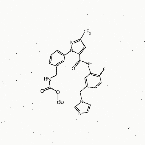 CC(C)(C)OC(=O)NCc1cccc(-n2nc(C(F)(F)F)cc2C(=O)Nc2cc(Cn3ccnc3)ccc2F)c1